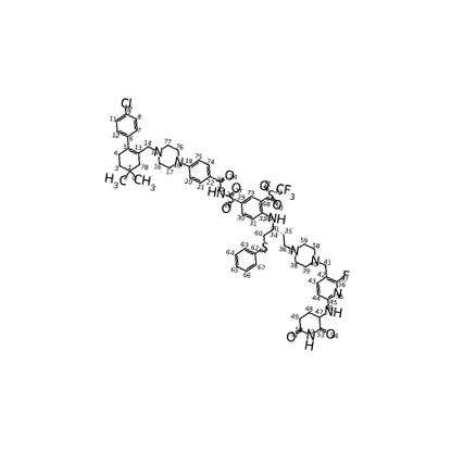 CC1(C)CCC(c2ccc(Cl)cc2)=C(CN2CCN(c3ccc(C(=O)NS(=O)(=O)c4ccc(N[C@H](CCN5CCN(Cc6ccc(NC7CCC(=O)NC7=O)nc6F)CC5)CSc5ccccc5)c(S(=O)(=O)C(F)(F)F)c4)cc3)CC2)C1